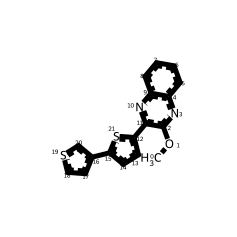 COc1nc2ccccc2nc1-c1ccc(-c2ccsc2)s1